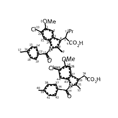 COc1cc2c(C(C(=O)O)C(C)C)c(C)n(C(=O)c3ccc(C)cc3)c2cc1Cl.COc1cc2c(CC(=O)O)c(C)n(C(=O)c3ccc(C)cc3)c2cc1Cl